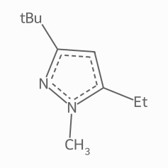 CCc1cc(C(C)(C)C)nn1C